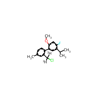 [2H]C([2H])(Cl)c1cc(C)ccc1-c1cc(C(C)C)c(F)cc1OC